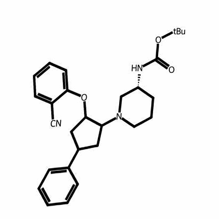 CC(C)(C)OC(=O)N[C@@H]1CCCN(C2CC(c3ccccc3)CC2Oc2ccccc2C#N)C1